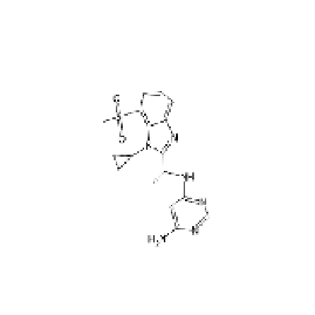 C[C@@H](Nc1cc(N)ncn1)c1nc2cccc(S(C)(=O)=O)c2n1C1CC1